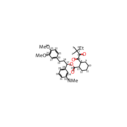 CCC(C)(C)C(=O)C(=O)C1CCCCC1C(=O)OC(CCc1ccc(OC)c(OC)c1)c1cccc(NC)c1